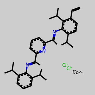 C=Cc1ccc(C(C)C)c(/N=C(\C)c2cccc(/C(C)=N/c3c(C(C)C)cccc3C(C)C)n2)c1C(C)C.[Cl-].[Cl-].[Co+2]